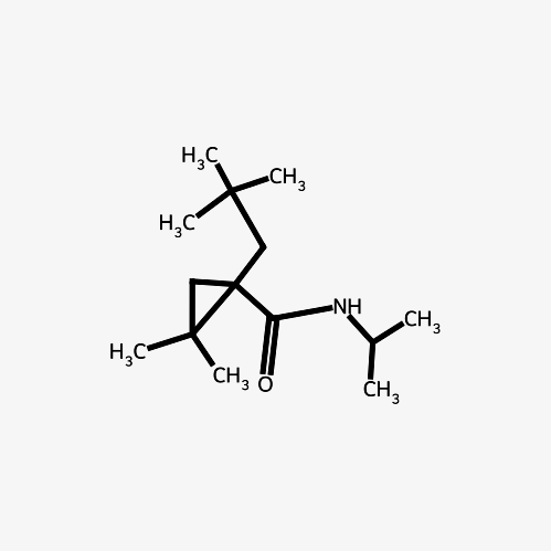 CC(C)NC(=O)C1(CC(C)(C)C)CC1(C)C